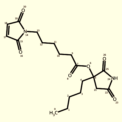 CCCCCC1(OC(=O)CCCCCN2C(=O)C=CC2=O)CC(=O)NC1=O